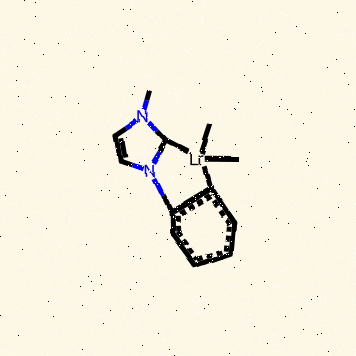 CN1C=CN2c3cccc[c]3[Lr]([CH3])([CH3])[CH]12